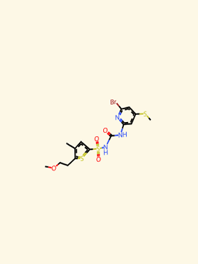 COCCc1sc(S(=O)(=O)NC(=O)Nc2cc(SC)cc(Br)n2)cc1C